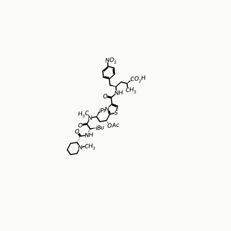 CC[C@H](C)[C@H](NC(=O)[C@H]1CCCCN1C)C(=O)N(C)[C@H](C[C@@H](OC(C)=O)c1nc(C(=O)N[C@@H](Cc2ccc([N+](=O)[O-])cc2)C[C@H](C)C(=O)O)cs1)C(C)C